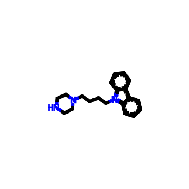 c1ccc2c(c1)c1ccccc1n2CCCCN1CCNCC1